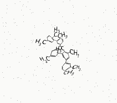 Cc1ccc(C)c(-c2cc(Oc3ccc(C)cc3-c3cc(-c4ccc(C)c(C)c4)cc(C)c3C)ccc2C)c1